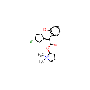 C[N+]1(C)CCCC1OC(=O)C(c1ccccc1O)C1CCCC1.[Br-]